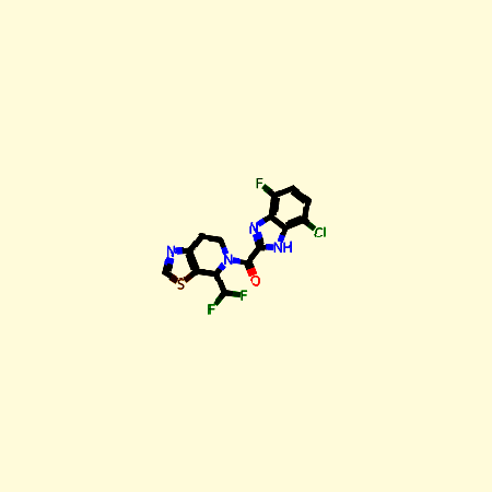 O=C(c1nc2c(F)ccc(Cl)c2[nH]1)N1CCc2ncsc2C1C(F)F